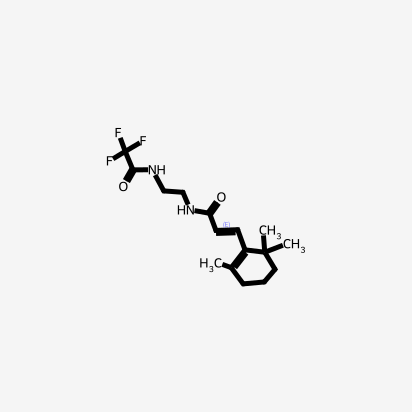 CC1=C(/C=C/C(=O)NCCNC(=O)C(F)(F)F)C(C)(C)CCC1